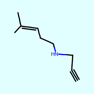 C#CCNCCC=C(C)C